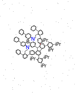 CC(C)c1cc(C(C)C)c(-c2ccc3c(c2)-c2cc(-c4c(C(C)C)cc(C(C)C)cc4C(C)C)ccc2C3c2cc3c4c(c2)N(CCc2c(-c5ccccc5)cccc2-c2ccccc2)c2ccc(-c5ccccc5)cc2B4c2cc(-c4ccccc4)ccc2N3CCc2c(-c3ccccc3)cccc2-c2ccccc2)c(C(C)C)c1